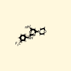 CCCc1cc(N2CCOCC2)nc(Nc2cccc(C(F)(F)F)c2)n1